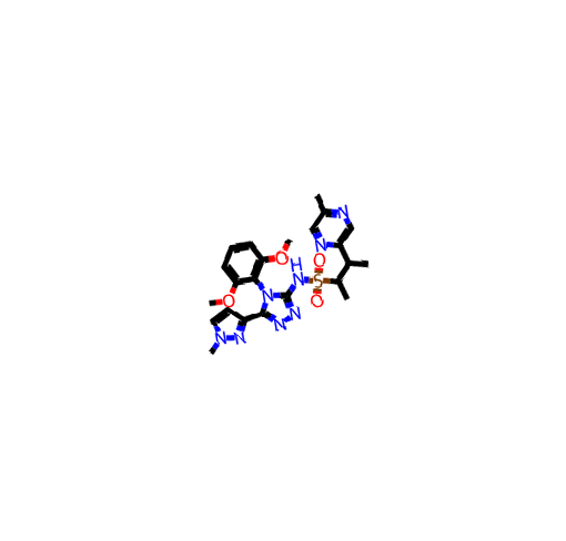 COc1cccc(OC)c1-n1c(NS(=O)(=O)C(C)C(C)c2cnc(C)cn2)nnc1-c1ccn(C)n1